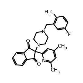 Cc1cc(C)nc(C2(N3CCN(Cc4cc(F)ccc4C)CC3)C(=O)c3ccccc3C2=O)c1